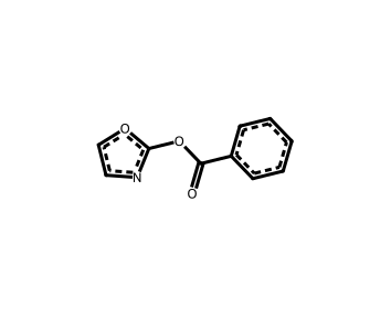 O=C(Oc1ncco1)c1ccccc1